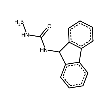 BNC(=O)NC1c2ccccc2-c2ccccc21